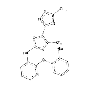 Cc1nc(-c2sc(Nc3cccnc3Oc3ccccc3C(C)(C)C)nc2C(F)(F)F)no1